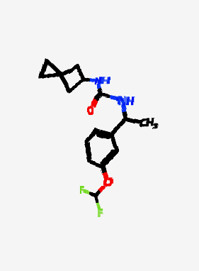 CC(NC(=O)NC1CC2(CC2)C1)c1cccc(OC(F)F)c1